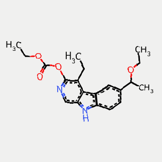 CCOC(=O)Oc1ncc2[nH]c3ccc(C(C)OCC)cc3c2c1CC